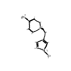 CCn1cc(CN2CCC(C(C)C)CC2)cn1